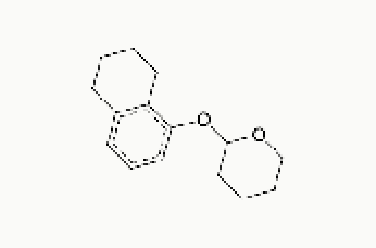 c1cc2c(c(OC3CCCCO3)c1)CCCC2